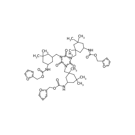 CC1(C)CC(Cn2c(=O)n(CC3(C)CC(NC(=O)OCc4ccco4)CC(C)(C)C3)c(=O)n(CC3(C)CC(NC(=O)OCc4ccco4)CC(C)(C)C3)c2=O)CC(NC(=O)OCc2ccco2)C1